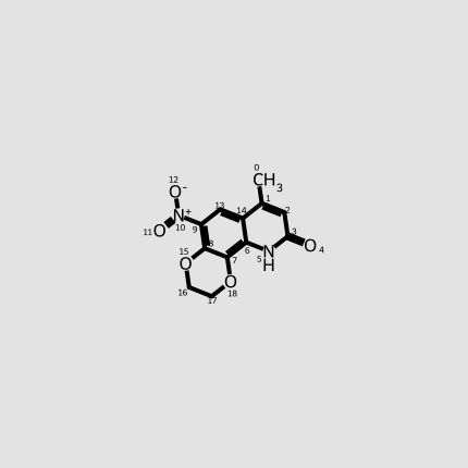 Cc1cc(=O)[nH]c2c3c(c([N+](=O)[O-])cc12)OCCO3